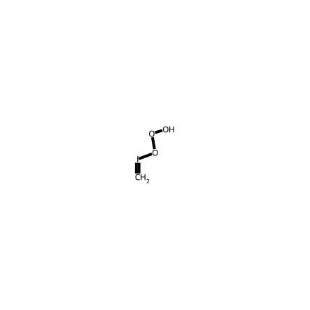 C=IOOO